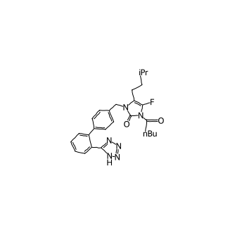 CCCCC(=O)n1c(F)c(CCC(C)C)n(Cc2ccc(-c3ccccc3-c3nnn[nH]3)cc2)c1=O